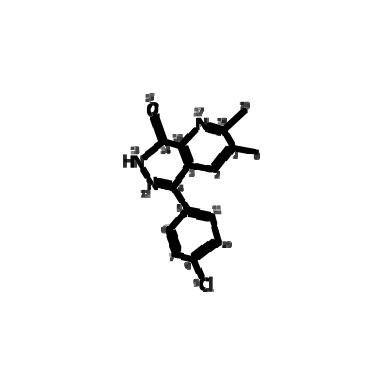 Cc1cc2c(-c3ccc(Cl)cc3)n[nH]c(=O)c2nc1C